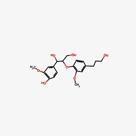 COc1cc(C(O)C(CO)Oc2ccc(CCCO)cc2OC)ccc1O